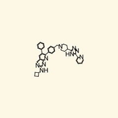 c1ccc(-c2cc3cnc(NC4CCC4)nc3nc2-c2ccc(CN3CCC(c4nnc(-c5ccccn5)[nH]4)CC3)cc2)cc1